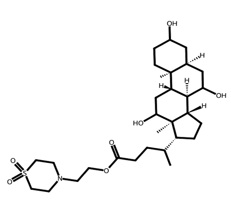 CC(CCC(=O)OCCN1CCS(=O)(=O)CC1)[C@H]1CC[C@H]2[C@@H]3C(O)C[C@@H]4CC(O)CC[C@]4(C)[C@H]3CC(O)[C@]12C